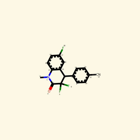 CN1C(=O)C(F)(F)C(c2ccc(C#N)cc2)c2cc(F)ccc21